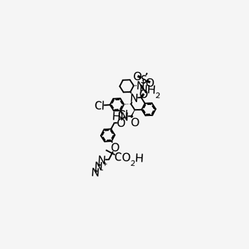 CC(CN=[N+]=[N-])(Oc1cccc(CONC(=O)[C@@H]2c3ccccc3C(=O)N([C@H]3CCCC[C@@H]3N(N)S(C)(=O)=O)[C@H]2c2ccc(Cl)cc2Cl)c1)C(=O)O